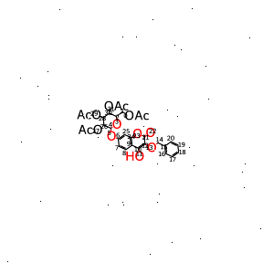 CC(=O)OC[C@H]1O[C@@H](Oc2ccc3c(O)c(OCc4ccccc4)c(=O)oc3c2)[C@H](OC(C)=O)[C@@H](OC(C)=O)[C@H]1OC(C)=O